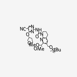 COC(OC)c1nc2c(cc1CO[Si](C)(C)C(C)(C)C)CCCN2C(=O)Nc1ncc(C#N)c(OC2CCOC2)n1